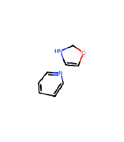 C1=COCN1.c1ccncc1